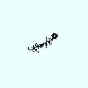 CC(C)(C)OC(=O)NCCC[C@@H](C=O)NC(=O)OCc1ccccc1